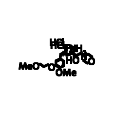 COCCCOc1cc(C[C@@H](C[C@H](N)[C@@H](O)CN2CCOCC2)C(C)C)ccc1OC.Cl.Cl